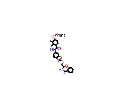 CCC[C@@H](C)Oc1ccc(C(=O)Nc2ccc3nc(SCC(=O)N[C@@H](C)c4ccccc4)sc3c2)c(C)c1C